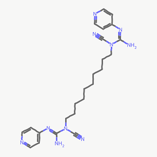 N#CN(CCCCCCCCCCN(C#N)C(N)=Nc1ccncc1)C(N)=Nc1ccncc1